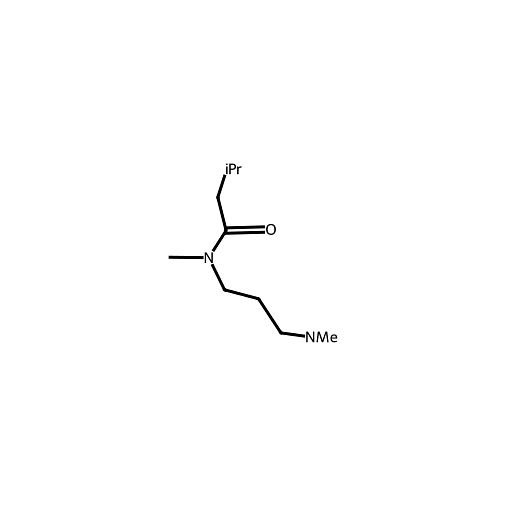 CNCCCN(C)C(=O)CC(C)C